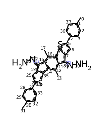 Cc1ccc(-c2cc3/c(=N\N)c4c(C)c5c(c(C)c4c3s2)/c(=N/N)c2cc(-c3ccc(C)cc3)sc25)cc1